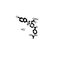 COC(=O)CC1CN(C(=O)C2CCC(NC(C)=N)CC2)CCN1S(=O)(=O)c1ccc2cc(Cl)ccc2c1.Cl